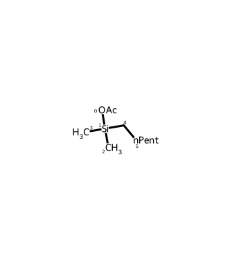 [CH2]C(=O)O[Si](C)(C)CCCCCC